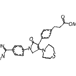 COC(=O)CCc1ccc(C2=C(N3CCSCC3)CN(c3ccc(C(=N)N)cc3)C2=O)cc1